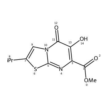 COC(=O)c1nc2sc(C(C)C)cn2c(=O)c1O